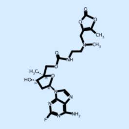 Cc1oc(=O)oc1CN(C)CCNC(=O)OC[C@@]1(C)O[C@@H](n2cnc3c(N)nc(F)nc32)C[C@@H]1O